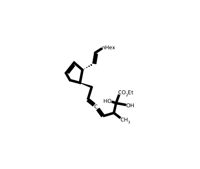 CCCCCCC=C[C@H]1C=CC[C@@H]1CC=C=CC(C)C(O)(O)C(=O)OCC